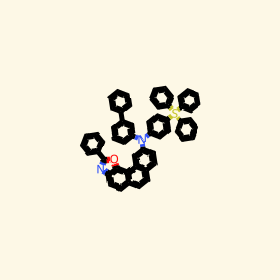 c1ccc(-c2cccc(N(c3ccc(S(c4ccccc4)(c4ccccc4)c4ccccc4)cc3)c3ccc4ccc5ccc6nc(-c7ccccc7)oc6c5c4c3)c2)cc1